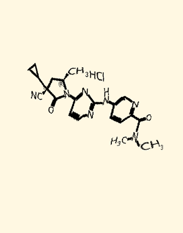 C[C@@H]1C[C@@](C#N)(C2CC2)C(=O)N1c1ccnc(Nc2ccc(C(=O)N(C)C)nc2)n1.Cl